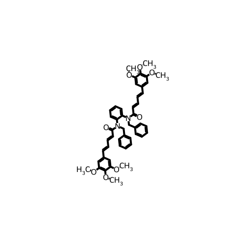 COc1cc(/C=C/C=C/C(=O)N(Cc2ccccc2)c2ccccc2N(Cc2ccccc2)C(=O)/C=C/C=C/c2cc(OC)c(OC)c(OC)c2)cc(OC)c1OC